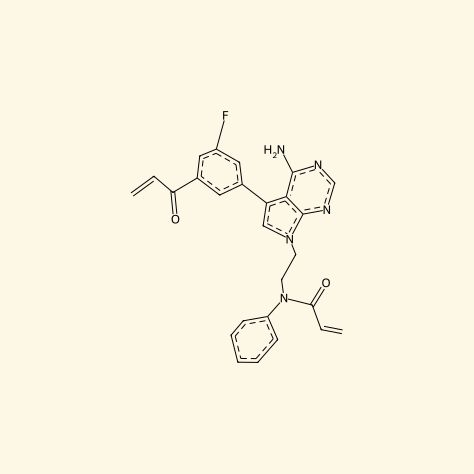 C=CC(=O)c1cc(F)cc(-c2cn(CCN(C(=O)C=C)c3ccccc3)c3ncnc(N)c23)c1